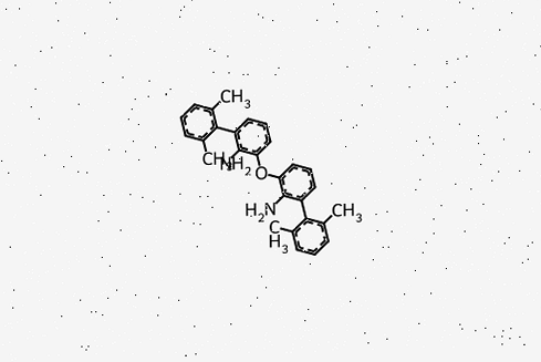 Cc1cccc(C)c1-c1cccc(Oc2cccc(-c3c(C)cccc3C)c2N)c1N